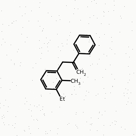 C=C(Cc1cccc(CC)c1C)c1ccccc1